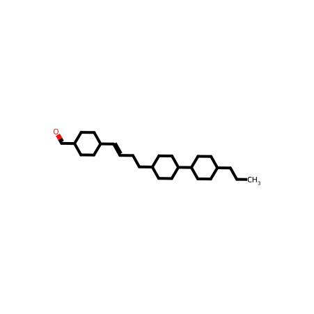 CCCC1CCC(C2CCC(CCC=CC3CCC(C=O)CC3)CC2)CC1